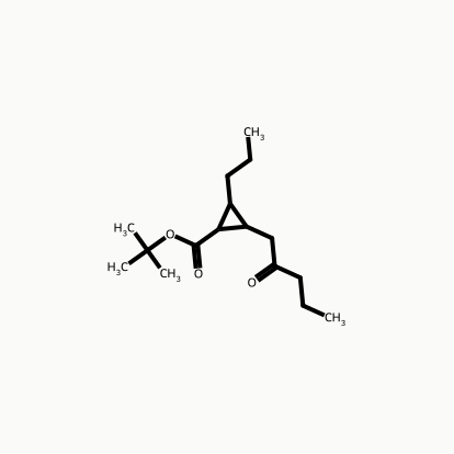 CCCC(=O)CC1C(CCC)C1C(=O)OC(C)(C)C